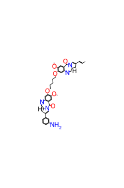 C/C=C/C1=CN2C(=O)c3cc(OC)c(OCCCCCOc4cc5c(cc4OC)C(=O)N4C=C(c6cccc(N)c6)C[C@H]4C=N5)cc3N=C[C@@H]2C1